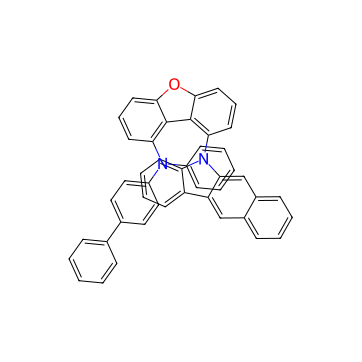 c1ccc(-c2ccc(N(c3ccccc3)c3cccc4oc5cccc(-n6c7ccccc7c7cc8ccccc8cc76)c5c34)cc2)cc1